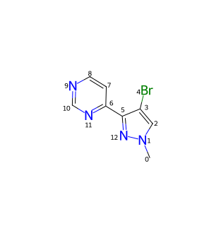 Cn1cc(Br)c(-c2ccncn2)n1